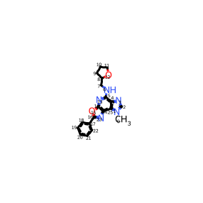 Cn1cnc2c(NCC3CCCO3)nc3oc(-c4ccccc4)nc3c21